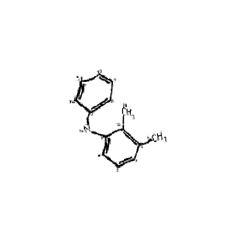 Cc1cccc([N]c2ccccc2)c1C